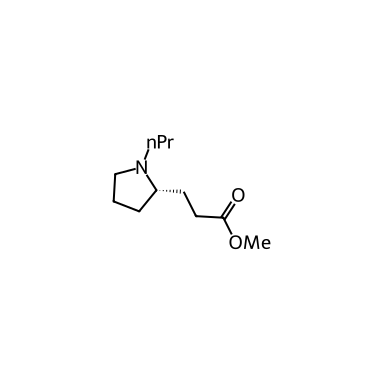 CCCN1CCC[C@H]1CCC(=O)OC